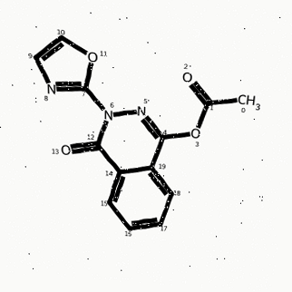 CC(=O)Oc1nn(-c2ncco2)c(=O)c2ccccc12